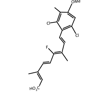 COc1cc(Cl)c(/C=C/C(C)=C(F)C=CC(C)=CC(=O)O)c(Cl)c1C